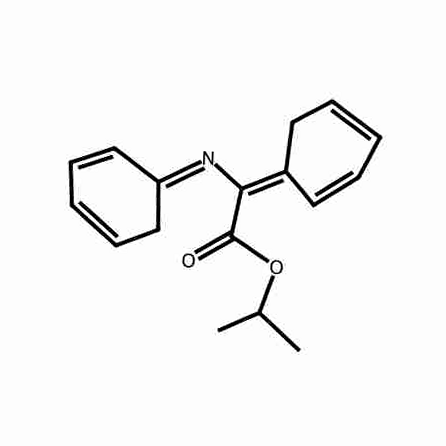 CC(C)OC(=O)C(N=C1C=CC=CC1)=C1C=CC=CC1